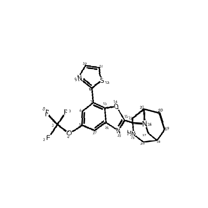 FC(F)(F)Oc1cc(-c2nccs2)c2oc(N3CC4CCC3CNC4)nc2c1